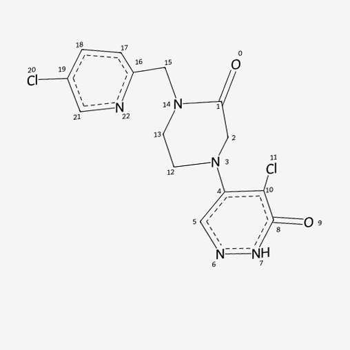 O=C1CN(c2cn[nH]c(=O)c2Cl)CCN1Cc1ccc(Cl)cn1